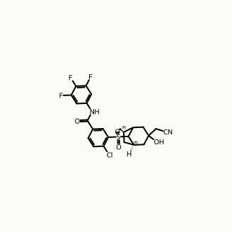 C[C@@H]1C[C@@H]2CC(O)(CC#N)CC1C2S(=O)(=O)c1cc(C(=O)Nc2cc(F)c(F)c(F)c2)ccc1Cl